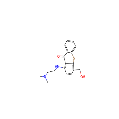 CN(C)CCNc1ccc(CO)c2sc3ccccc3c(=O)c12